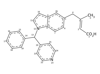 CC(=CC(=O)O)Cc1ccc2c(ccn2C(c2ccccc2)c2ccncc2)c1